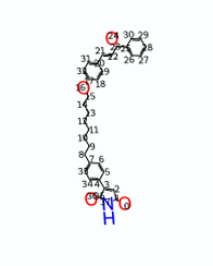 O=C1C=C(c2ccc(CCCCCCCCOc3ccc(C=CC(=O)c4ccccc4)cc3)cc2)C(=O)N1